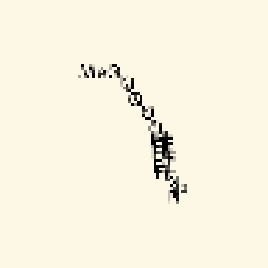 COCCOCCOCCOCCOCC(F)(F)C(F)(F)C(F)(F)C(F)(F)C(F)(F)C(F)(F)CN=[N+]=[N-]